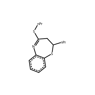 CCCSC1=Nc2ccccc2SC(CCC)C1